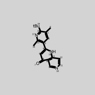 Cc1cc(-c2cc(=O)c3cnccc3[nH]2)c(C)nc1C(C)(C)C